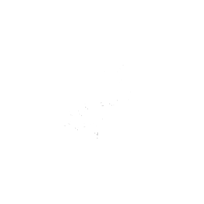 C=C(F)c1ccc(C(=O)O)c(NC(=O)c2cc(N)c3nnnn3n2)c1